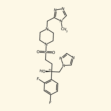 Cn1cnnc1CN1CCN(S(=O)(=O)CC[C@](O)(Cn2cncn2)c2ccc(F)cc2F)CC1